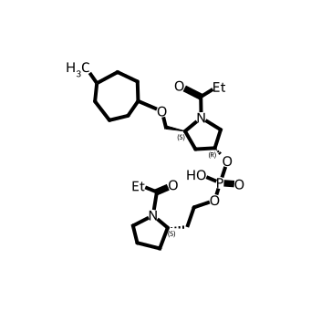 CCC(=O)N1CCC[C@H]1CCOP(=O)(O)O[C@@H]1C[C@@H](COC2CCCC(C)CC2)N(C(=O)CC)C1